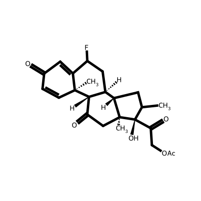 CC(=O)OCC(=O)[C@@]1(O)C(C)C[C@H]2[C@@H]3CC(F)C4=CC(=O)C=C[C@]4(C)[C@H]3C(=O)C[C@@]21C